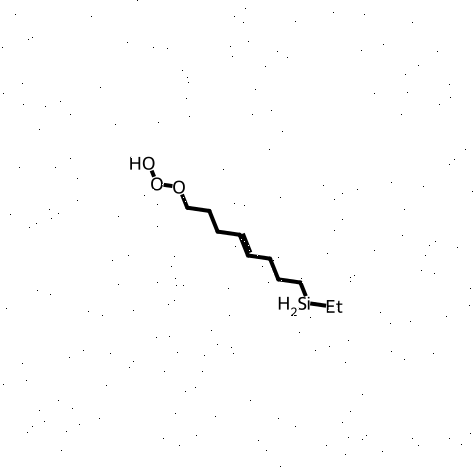 CC[SiH2]CCCC=CCCCOOO